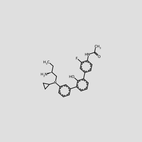 CC[C@H](N)CN(c1cccc(-c2cccc(-c3ccc(NC(C)=O)c(F)c3)c2O)c1)C1CC1